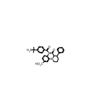 CC(C)(N)c1ccc(C(=O)N(C(=O)C2NCCCC2c2ccccc2)c2ccc(C(=O)O)cc2)cc1